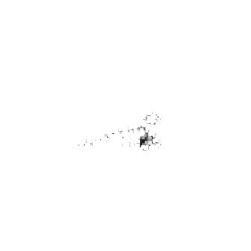 CCCCCCCCSCCCCCCCC(C([O])CP(=O)(O)OCCC)C1CCCCCC1